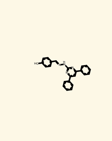 Oc1ccc(C=NNc2nc(-c3ccccc3)cc(-c3ccccc3)n2)cc1